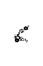 COC1(OC)CC(CCCN2CCN(c3ccc(F)cc3)CC2)S(=O)(=O)c2ccccc21